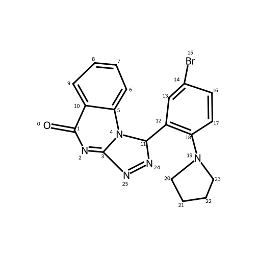 O=c1nc2n(c3ccccc13)C(c1cc(Br)ccc1N1CCCC1)N=N2